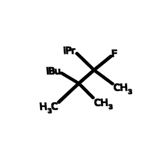 CCC(C)C(C)(C)C(C)(F)C(C)C